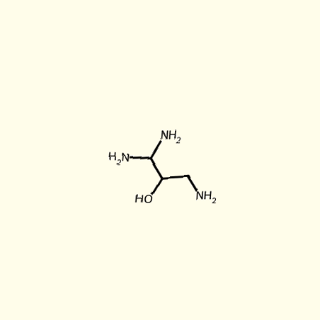 NCC(O)C(N)N